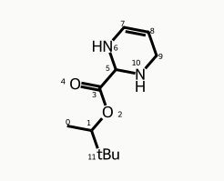 CC(OC(=O)C1NC=CCN1)C(C)(C)C